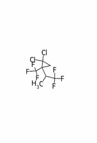 CC(C(F)(F)F)C1(C(F)(F)F)CC1(Cl)Cl